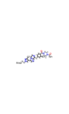 CCCC(=O)N1CCN(C(=O)c2ccc(Cc3nccn4c(-c5cn(CCOC)nc5C(F)(F)F)cnc34)cc2C)CC1